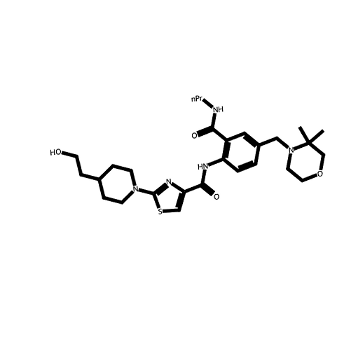 CCCNC(=O)c1cc(CN2CCOCC2(C)C)ccc1NC(=O)c1csc(N2CCC(CCO)CC2)n1